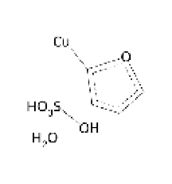 O.O=S(=O)(O)O.[Cu][c]1ccco1